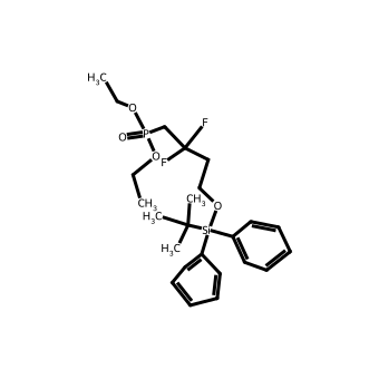 CCOP(=O)(CC(F)(F)CCO[Si](c1ccccc1)(c1ccccc1)C(C)(C)C)OCC